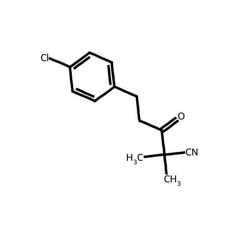 CC(C)(C#N)C(=O)CCc1ccc(Cl)cc1